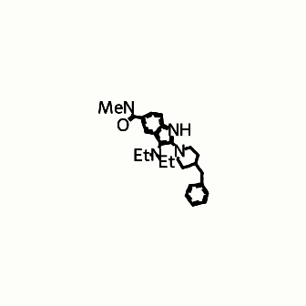 CCN(CC)c1c(N2CCC(Cc3ccccc3)CC2)[nH]c2ccc(C(=O)NC)cc12